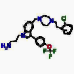 NCCCn1cc(-c2ccc(OC(F)(F)F)cc2)c2cc(CN3CCN(CCc4ccccc4Cl)CC3)ccc21